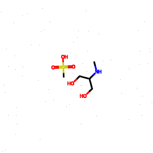 CNC(CO)CO.CS(=O)(=O)O